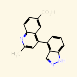 Cc1cc(-c2cccc3[nH]ncc23)c2cc(C(=O)O)ccc2n1